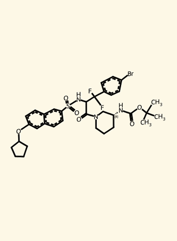 CC(C)(C)OC(=O)N[C@@H]1CCCN(C(=O)C(NS(=O)(=O)c2ccc3cc(OC4CCCC4)ccc3c2)C(F)(F)c2ccc(Br)cc2)C1